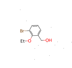 CCOc1c(Br)cccc1CO